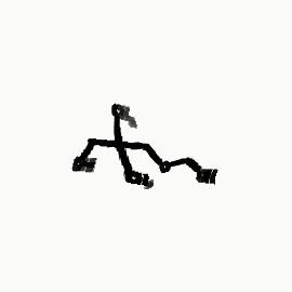 CC(C)(CO)COCO